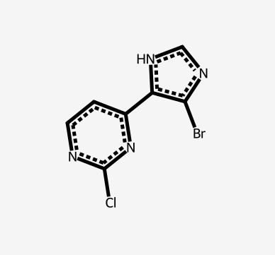 Clc1nccc(-c2[nH]cnc2Br)n1